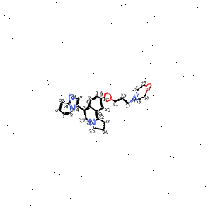 c1ccn2c(C3=c4ccc(OCCCN5CCOCC5)cc4=C4CCCN4C3)cnc2c1